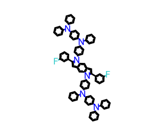 Fc1cccc(-c2cc3cc4c(cc(-c5cccc(F)c5)n4-c4ccc(N(c5ccccc5)c5ccc(N(c6ccccc6)c6ccccc6)cc5)cc4)cc3n2-c2ccc(N(c3ccccc3)c3ccc(N(c4ccccc4)c4ccccc4)cc3)cc2)c1